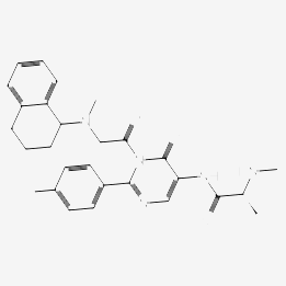 CN[C@@H](C)C(=O)Nc1cnc(-c2ccc(F)cc2)n(C(=O)CN(C)C2CCCc3ccccc32)c1=O